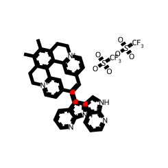 Cc1c(C)c2c(c3c1CC[n+]1ccc(/C=C/c4c[nH]c5ncccc45)cc1-3)-c1cc(/C=C/c3c[nH]c4ncccc34)cc[n+]1CC2.O=S(=O)([O-])C(F)(F)F.O=S(=O)([O-])C(F)(F)F